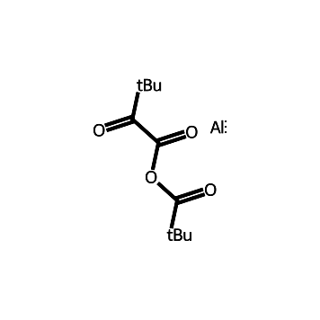 CC(C)(C)C(=O)OC(=O)C(=O)C(C)(C)C.[Al]